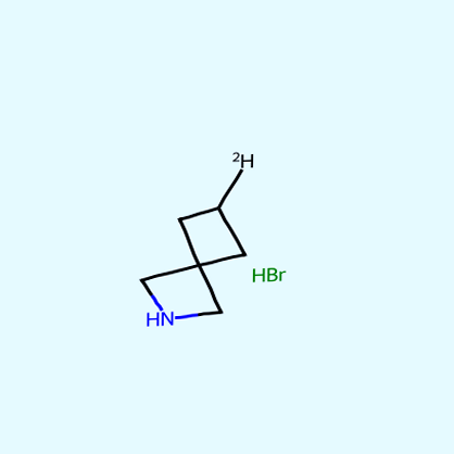 Br.[2H]C1CC2(CNC2)C1